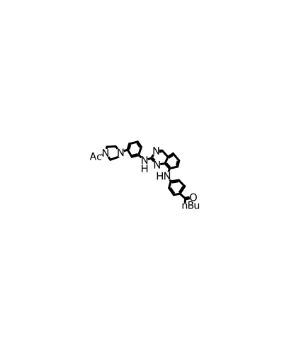 CCCCC(=O)c1ccc(Nc2cccc3cnc(Nc4cccc(N5CCN(C(C)=O)CC5)c4)nc23)cc1